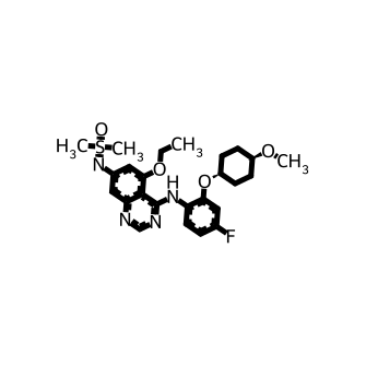 CCOc1cc(N=S(C)(C)=O)cc2ncnc(Nc3ccc(F)cc3O[C@H]3CC[C@H](OC)CC3)c12